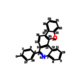 Cc1ccc(-c2nc3ccccc3c3c2ccc2c4ccccc4oc23)cc1